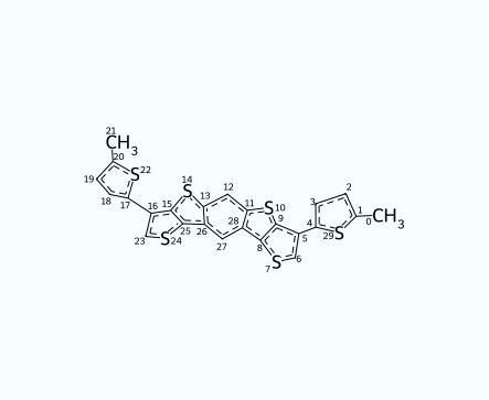 Cc1ccc(-c2csc3c2sc2cc4sc5c(-c6ccc(C)s6)csc5c4cc23)s1